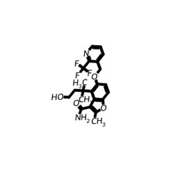 Cc1oc2ccc(OCc3cccnc3C(F)(F)F)c(C(C)(C)CCO)c2c1C(N)=O